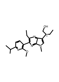 CCc1nc2c([C@H](CC)CO)cn(C)c2nc1-c1ccc(C(C)C)nc1OC